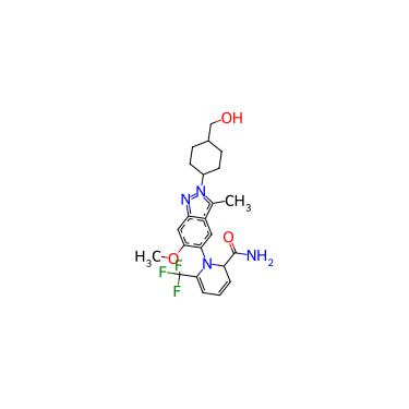 COc1cc2nn(C3CCC(CO)CC3)c(C)c2cc1N1C(C(F)(F)F)=CC=CC1C(N)=O